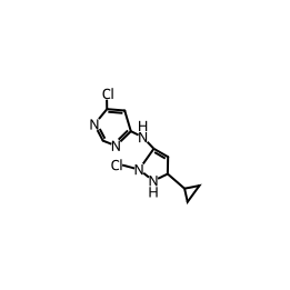 Clc1cc(NC2=CC(C3CC3)NN2Cl)ncn1